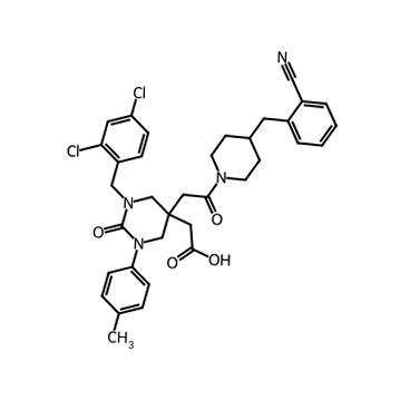 Cc1ccc(N2CC(CC(=O)O)(CC(=O)N3CCC(Cc4ccccc4C#N)CC3)CN(Cc3ccc(Cl)cc3Cl)C2=O)cc1